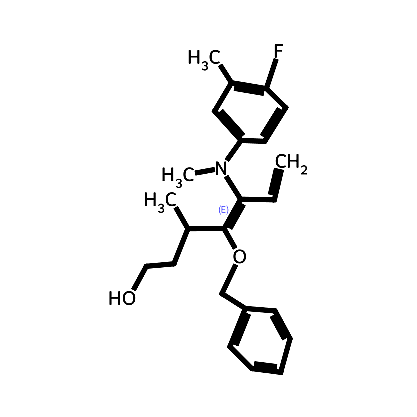 C=C/C(=C(\OCc1ccccc1)C(C)CCO)N(C)c1ccc(F)c(C)c1